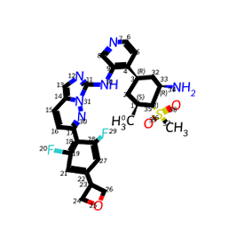 C[C@H]1C[C@@H](c2ccncc2Nc2ncc3ccc(-c4c(F)cc(C5COC5)cc4F)nn23)C[C@@H](N)[C@@H]1S(C)(=O)=O